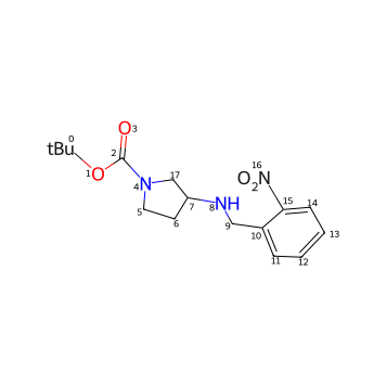 CC(C)(C)OC(=O)N1CCC(NCc2ccccc2[N+](=O)[O-])C1